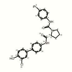 CC(C)c1ccc(NC(=O)N2CCC[C@@H]2C(=O)Nc2ccc(-c3ccc(O)c(Cl)c3)cc2)cc1